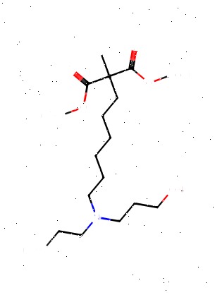 CCCCCCCCCCCCN(CCCO)CCCCCCC(C)(C(=O)OCCCCCCCC)C(=O)OCCCCCCCC